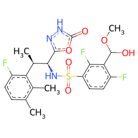 COC(O)c1c(F)ccc(S(=O)(=O)N[C@H](c2n[nH]c(=O)o2)[C@H](C)c2c(F)ccc(C)c2C)c1F